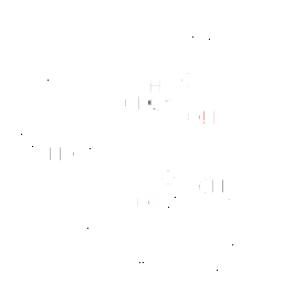 C=COC(=O)C(CCC)CCC.CC(=O)O